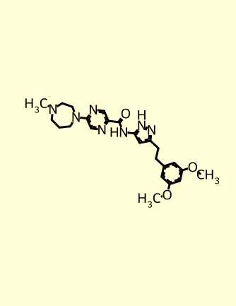 COc1cc(CCc2cc(NC(=O)c3cnc(N4CCCN(C)CC4)cn3)[nH]n2)cc(OC)c1